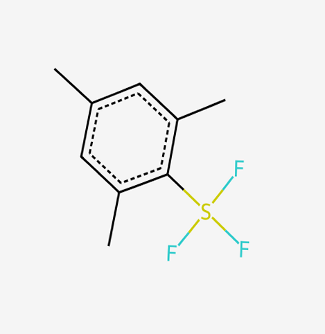 Cc1cc(C)c(S(F)(F)F)c(C)c1